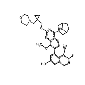 C#Cc1c(F)ccc2cc(O)cc(-c3cnc4c(N5CC6CCC(C5)N6)nc(OCC5(CN6CCOCC6)CC5)nc4c3OC)c12